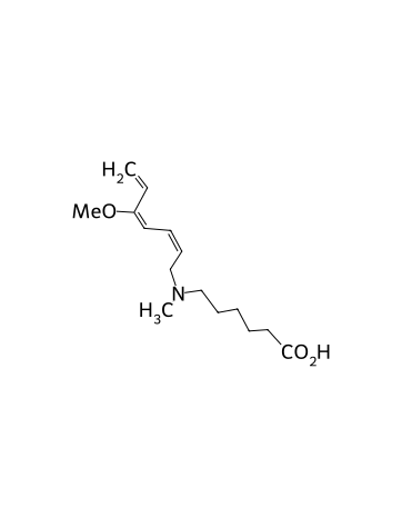 C=C/C(=C\C=C/CN(C)CCCCCC(=O)O)OC